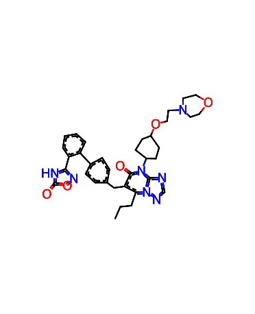 CCCc1c(Cc2ccc(-c3ccccc3-c3noc(=O)[nH]3)cc2)c(=O)n(C2CCC(OCCN3CCOCC3)CC2)c2ncnn12